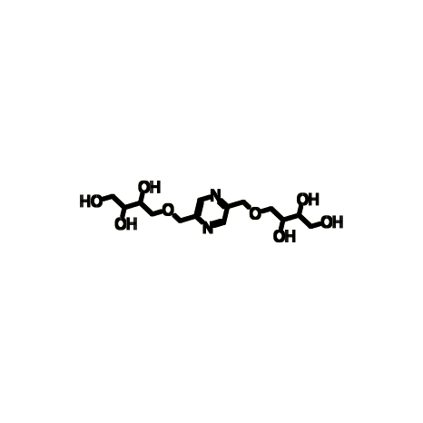 OCC(O)C(O)COCc1cnc(COCC(O)C(O)CO)cn1